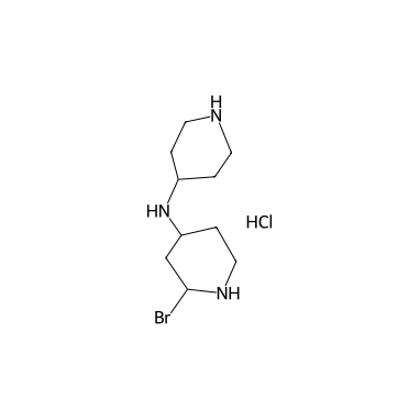 BrC1CC(NC2CCNCC2)CCN1.Cl